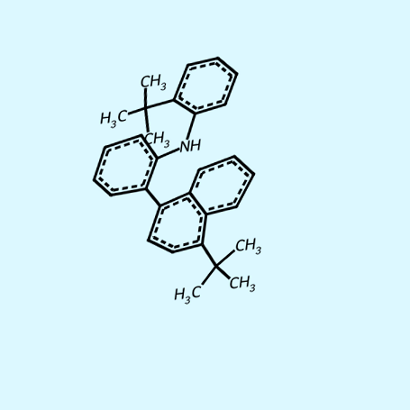 CC(C)(C)c1ccccc1Nc1ccccc1-c1ccc(C(C)(C)C)c2ccccc12